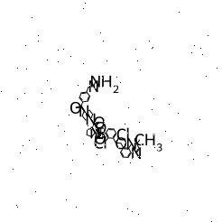 Cc1cnc2cccc(OCc3c(Cl)ccc(S(=O)(=O)N4CCC[C@H]4C(=O)N4CCN(C(=O)c5ccc(C=NN)cc5)CC4)c3Cl)c2n1